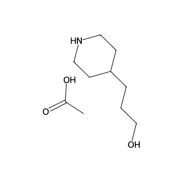 CC(=O)O.OCCCC1CCNCC1